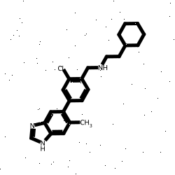 Cc1cc2[nH]cnc2cc1-c1ccc(CNCCC2CCCCC2)c(Cl)c1